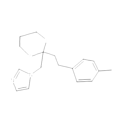 Cc1ccc(CCC2(Cn3ccnc3)SCCCS2)cc1